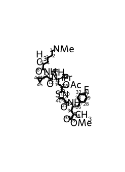 CNCCCC[C@@H](C)C(=O)N[C@H](C(=O)N(C)[C@H](C[C@@H](OC(C)=O)c1nc(C(=O)N[C@@H](Cc2ccc(F)cc2)C[C@H](C)C(=O)OC)cs1)C(C)C)C1CC1